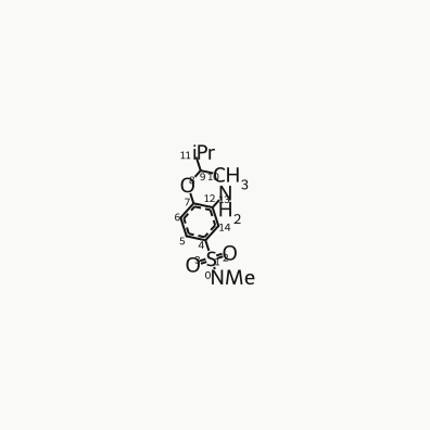 CNS(=O)(=O)c1ccc(OC(C)C(C)C)c(N)c1